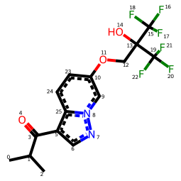 CC(C)C(=O)c1cnn2cc(OCC(O)(C(F)(F)F)C(F)(F)F)ccc12